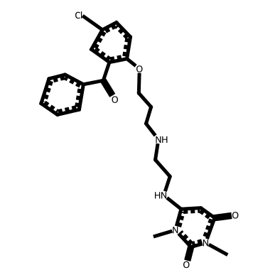 Cn1c(NCCNCCCOc2ccc(Cl)cc2C(=O)c2ccccc2)cc(=O)n(C)c1=O